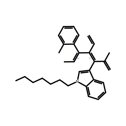 C=CC(=C(\C(=C)C)c1cn(CCCCCCC)c2ccccc12)/C(=C/C)c1ccccc1C